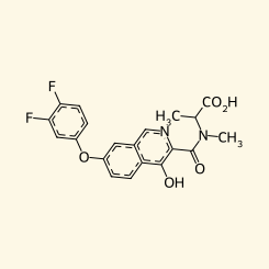 CC(C(=O)O)N(C)C(=O)c1ncc2cc(Oc3ccc(F)c(F)c3)ccc2c1O